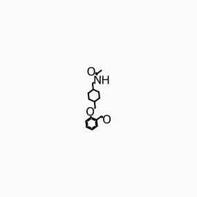 CC(=O)NCC1CCC(COc2ccccc2C=O)CC1